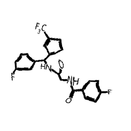 O=C(CNC(=O)c1ccc(F)cc1)NC(c1cccc(F)c1)c1cccc(C(F)(F)F)c1